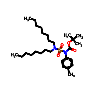 CCCCCCCCN(CCCCCCCC)S(=O)(=O)N(C(=O)OC(C)(C)C)c1ccc(C)cc1